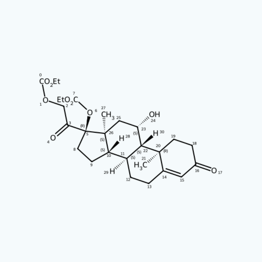 CCOC(=O)OCC(=O)[C@@]1(OC(=O)OCC)CC[C@H]2[C@@H]3CCC4=CC(=O)CC[C@]4(C)[C@H]3[C@@H](O)C[C@@]21C